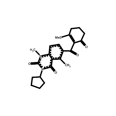 CSC1=C(C(=O)c2ccc3c(c2C)c(=O)n(C2CCCC2)c(=O)n3C)C(=O)CCC1